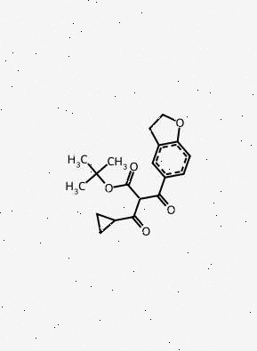 CC(C)(C)OC(=O)C(C(=O)c1ccc2c(c1)CCO2)C(=O)C1CC1